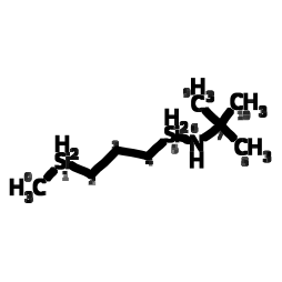 C[SiH2]CCC[SiH2]NC(C)(C)C